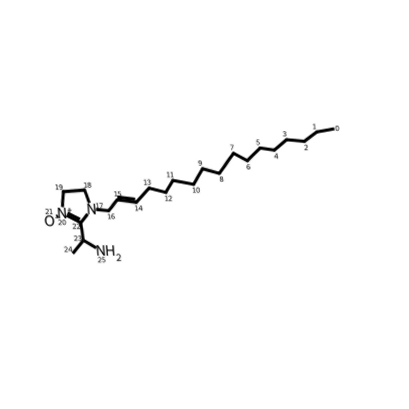 CCCCCCCCCCCCCCC=CCN1CC[N+]([O-])=C1C(C)N